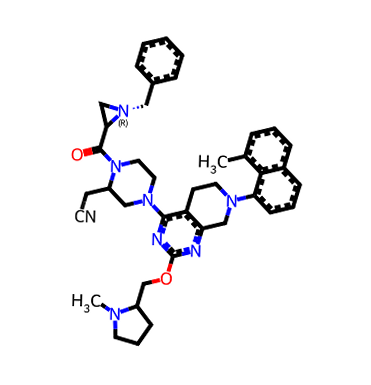 Cc1cccc2cccc(N3CCc4c(nc(OCC5CCCN5C)nc4N4CCN(C(=O)C5C[N@]5Cc5ccccc5)C(CC#N)C4)C3)c12